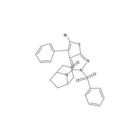 O=C1CC2CCC(C1)N2c1c2c(-c3ccccc3)c(Br)sc2nn1S(=O)(=O)c1ccccc1